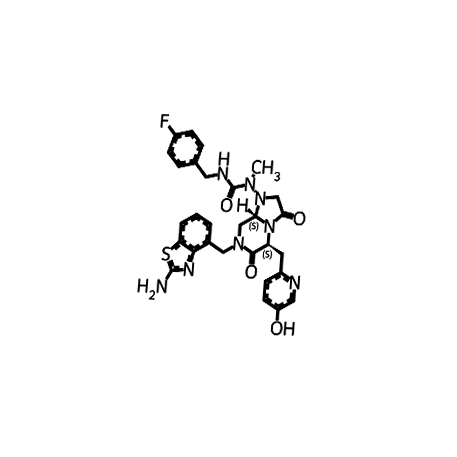 CN(C(=O)NCc1ccc(F)cc1)N1CC(=O)N2[C@@H](Cc3ccc(O)cn3)C(=O)N(Cc3cccc4sc(N)nc34)C[C@@H]21